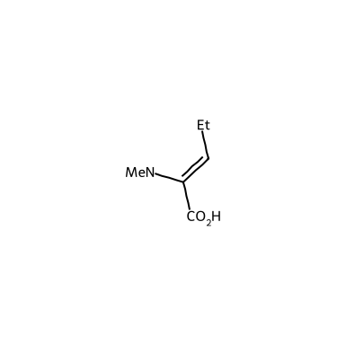 CC/C=C(\NC)C(=O)O